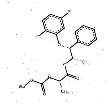 C[C@H](NC(=O)OC(C)(C)C)C(=O)O[C@@H](C)[C@H](Oc1cc(F)ccc1F)c1ccccc1